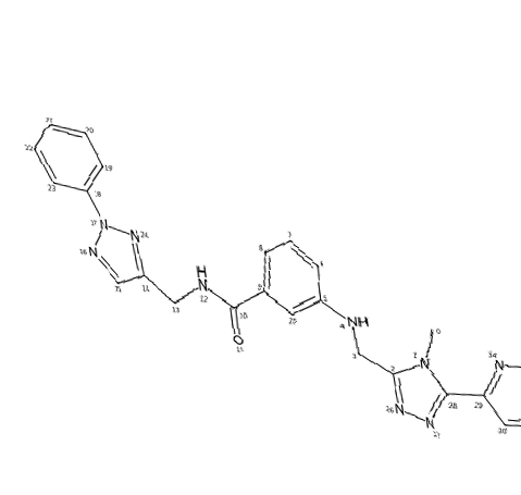 Cn1c(CNc2cccc(C(=O)NCc3cnn(-c4ccccc4)n3)c2)nnc1-c1ccncn1